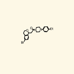 CCc1ccc(N2CCN(C(=O)CC3OCCc4cc(Br)ccc43)CC2)cc1